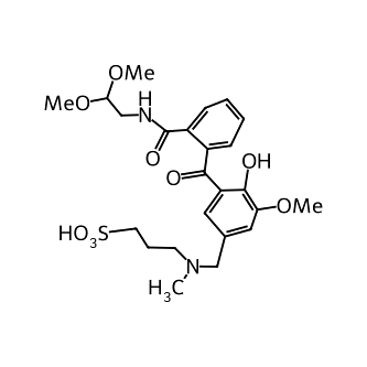 COc1cc(CN(C)CCCS(=O)(=O)O)cc(C(=O)c2ccccc2C(=O)NCC(OC)OC)c1O